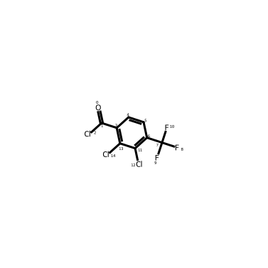 O=C(Cl)c1ccc(C(F)(F)F)c(Cl)c1Cl